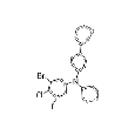 Clc1c(Br)cc(N(c2ccccc2)c2ccc(-c3ccccc3)cc2)cc1I